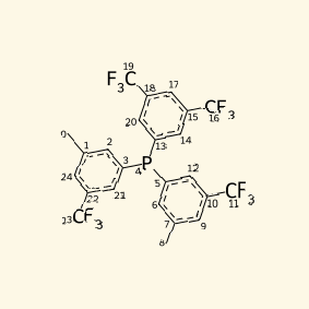 Cc1cc(P(c2cc(C)cc(C(F)(F)F)c2)c2cc(C(F)(F)F)cc(C(F)(F)F)c2)cc(C(F)(F)F)c1